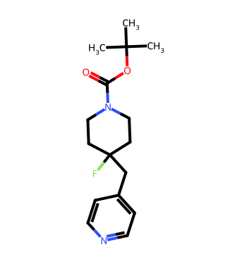 CC(C)(C)OC(=O)N1CCC(F)(Cc2ccncc2)CC1